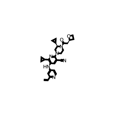 C=Cc1cc(Nc2cc(C#N)c(N3CCN(C(=O)C[C@@H]4CCO4)[C@H](C4CC4)C3)nc2C2CC2)ccn1